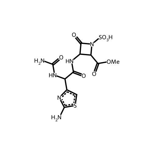 COC(=O)C1C(NC(=O)C(NC(N)=O)c2csc(N)n2)C(=O)N1S(=O)(=O)O